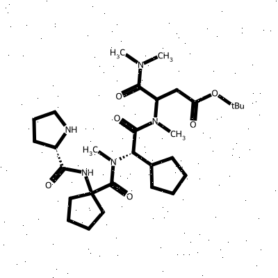 CN(C)C(=O)C(CC(=O)OC(C)(C)C)N(C)C(=O)[C@H](C1CCCC1)N(C)C(=O)C1(NC(=O)[C@@H]2CCCN2)CCCC1